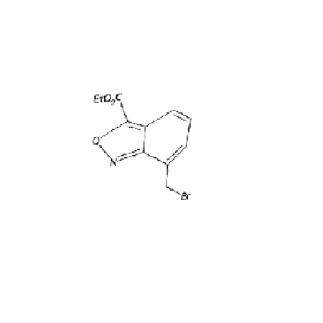 CCOC(=O)c1onc2c(CBr)cccc12